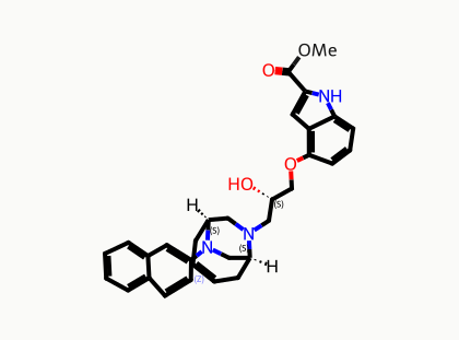 COC(=O)c1cc2c(OC[C@@H](O)CN3C[C@@H]4C/C=C\C[C@H]3CN4c3ccc4ccccc4c3)cccc2[nH]1